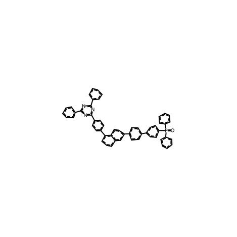 O=P(c1ccccc1)(c1ccccc1)c1ccc(-c2ccc(-c3ccc4c(-c5ccc(-c6nc(-c7ccccc7)nc(-c7ccccc7)n6)cc5)cccc4c3)cc2)cc1